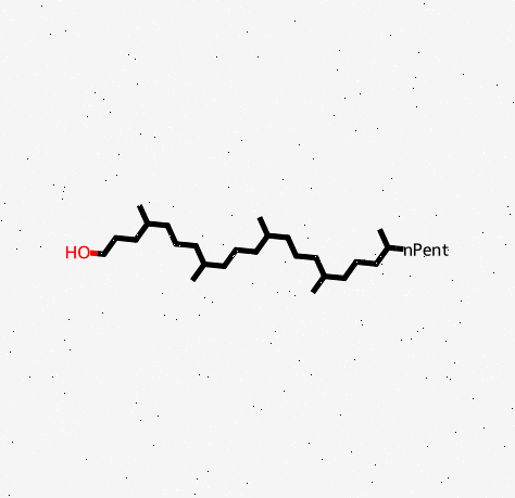 CCCCCC(C)CCCC(C)CCCC(C)CCCC(C)CCCC(C)CCCO